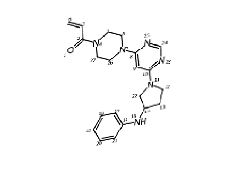 C=CC(=O)N1CCN(c2cc(N3CCC(Nc4ccccc4)C3)ncn2)CC1